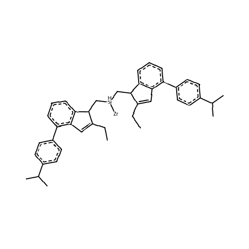 CCC1=Cc2c(-c3ccc(C(C)C)cc3)cccc2C1C[SiH]([Zr])CC1C(CC)=Cc2c(-c3ccc(C(C)C)cc3)cccc21